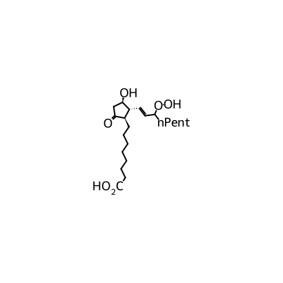 CCCCCC(/C=C/[C@H]1[C@H](O)CC(=O)[C@@H]1CCCCCCCC(=O)O)OO